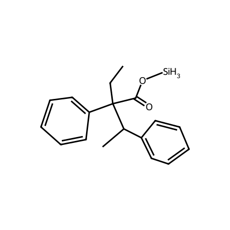 CCC(C(=O)O[SiH3])(c1ccccc1)C(C)c1ccccc1